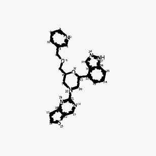 c1cncc(COCC2CN(c3ncc4sccc4n3)CC(c3cccc4[nH]ncc34)O2)c1